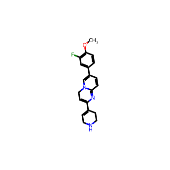 COc1ccc(C2=CN3CC=C(C4=CCNCC4)N=C3C=C2)cc1F